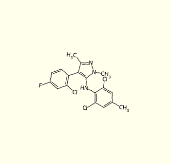 Cc1cc(Cl)c(Nc2c(-c3ccc(F)cc3Cl)c(C)nn2C)c(Cl)c1